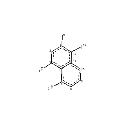 Cc1cc(F)c2c(F)cccc2c1I